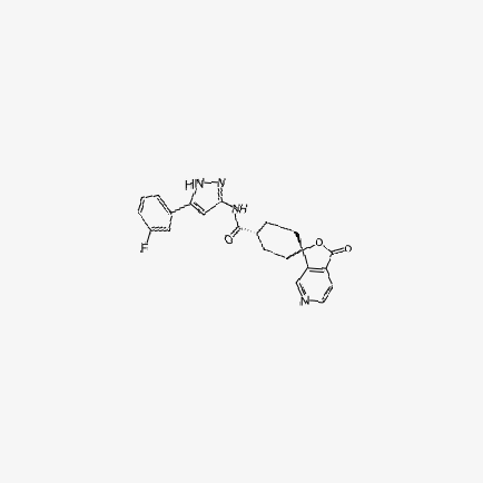 O=C1O[C@]2(CC[C@@H](C(=O)Nc3cc(-c4cccc(F)c4)[nH]n3)CC2)c2cnccc21